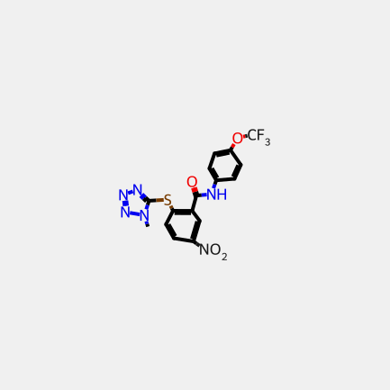 Cn1nnnc1Sc1ccc([N+](=O)[O-])cc1C(=O)Nc1ccc(OC(F)(F)F)cc1